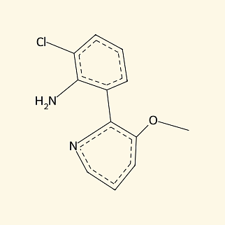 COc1cccnc1-c1cccc(Cl)c1N